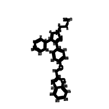 [18F]CCn1cc(-c2ccncc2)c(-c2ccc(OCc3nc4ccccc4o3)cc2)n1